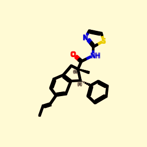 CC=Cc1ccc2c(c1)[C@@H](c1ccccc1)[C@@](C)(C(=O)Nc1nccs1)C2